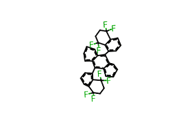 FC1(F)CCC(F)(F)c2c(-c3c4ccccc4c(-c4cccc5c4C(F)(F)CCC5(F)F)c4ccccc34)cccc21